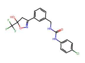 O=C(NCc1cccc(C2=NOC(O)(C(F)(F)F)C2)c1)Nc1ccc(Cl)cc1